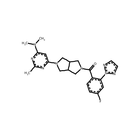 Cc1nc(N(C)C)cc(N2CC3CN(C(=O)c4ccc(F)cc4-n4nccn4)CC3C2)n1